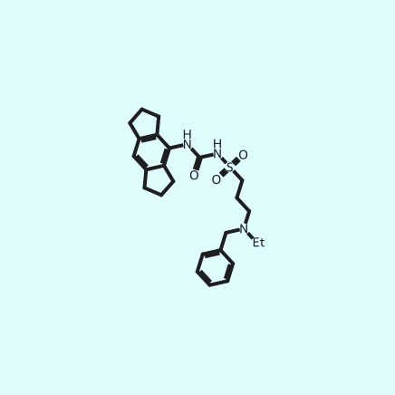 CCN(CCCS(=O)(=O)NC(=O)Nc1c2c(cc3c1CCC3)CCC2)Cc1ccccc1